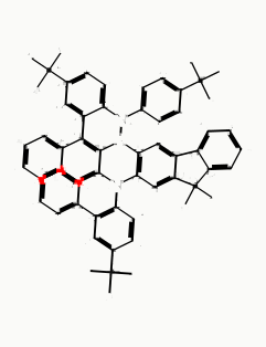 CC(C)(C)c1ccc(N2B3c4cc5c(cc4N(c4ccc(C(C)(C)C)cc4-c4ccccc4)c4cc6ccccc6c(c43)-c3cc(C(C)(C)C)ccc32)C(C)(C)c2ccccc2-5)cc1